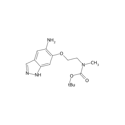 CN(CCOc1cc2[nH]ncc2cc1N)C(=O)OC(C)(C)C